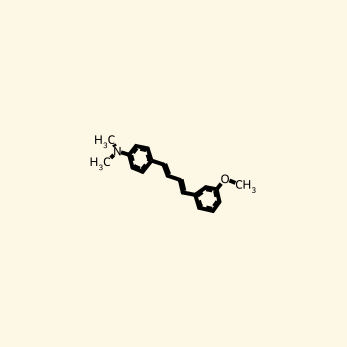 COc1cccc(C=CC=Cc2ccc(N(C)C)cc2)c1